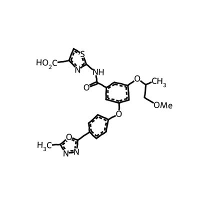 COCC(C)Oc1cc(Oc2ccc(-c3nnc(C)o3)cc2)cc(C(=O)Nc2nc(C(=O)O)cs2)c1